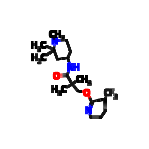 CN1CCC(NC(=O)C(C)(C)COc2ncccc2C(F)(F)F)CC1(C)C